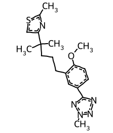 COc1ccc(-c2nnn(C)n2)cc1CCCC(C)(C)c1csc(C)n1